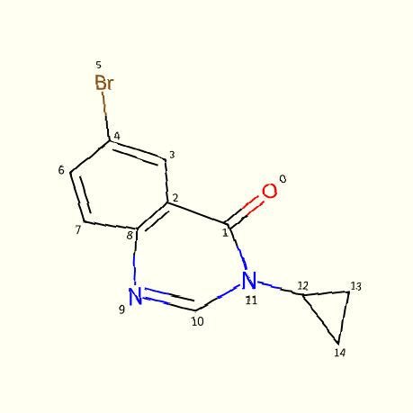 O=c1c2cc(Br)ccc2ncn1C1CC1